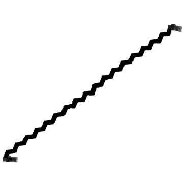 CCCCCCCCCCCCCCCCCCCCCCCCCC[CH]CCCCCCCCCCCCCCCCCCCCCCCCCCC